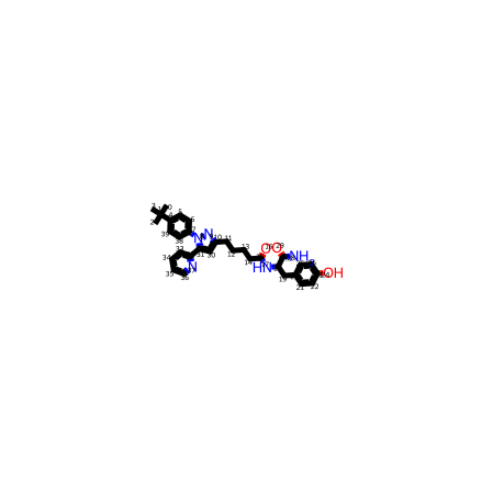 CC(C)(C)c1ccc(-n2nc(CCCCC(=O)NC(Cc3ccc(O)cc3)C(N)=O)cc2-c2ccccn2)cc1